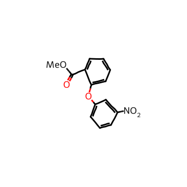 COC(=O)c1ccccc1Oc1cccc([N+](=O)[O-])c1